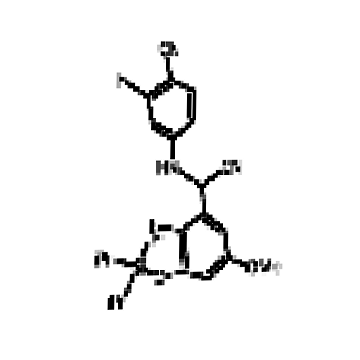 COc1cc(O[Si](C(C)C)(C(C)C)C(C)C)c(F)c(C(C#N)Nc2ccc(C#N)c(F)c2)c1